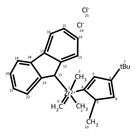 [CH2]=[Zr+2]([CH3])([CH3])([C]1=CC(C(C)(C)C)=CC1C)[CH]1c2ccccc2-c2ccccc21.[Cl-].[Cl-]